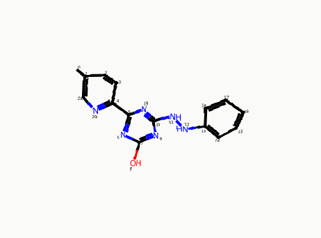 Cc1ccc(-c2nc(O)nc(NNc3ccccc3)n2)nc1